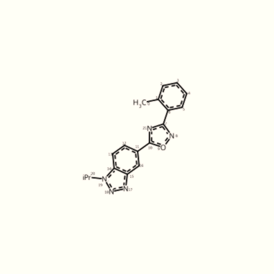 Cc1ccccc1-c1noc(-c2ccc3c(c2)nnn3C(C)C)n1